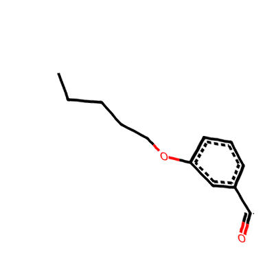 CCCCCOc1cccc([C]=O)c1